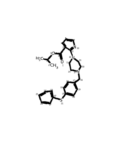 CC(C)OC(=O)c1cccnc1N1CCN(Cc2ccc(Sc3ccccc3)cc2)CC1